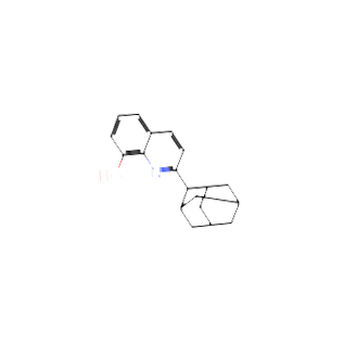 Oc1cccc2ccc(C3C4CC5CC(C4)CC3C5)nc12